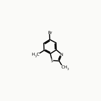 Cc1nc2cc(Br)cc(C)c2s1